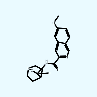 COc1ccc2cnc(C(=O)N[C@H]3CN4CCC3CC4)cc2c1